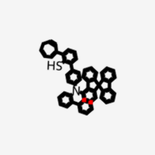 Sc1c(C2=CC=CCC#C2)cccc1-c1ccc(N(c2ccccc2-c2ccccc2)c2cccc3c2-c2ccccc2C32c3ccccc3-c3ccccc32)cc1